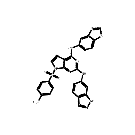 Cc1ccc(S(=O)(=O)n2ccc3c(Nc4ccc5scnc5c4)nc(Nc4ccc5cn[nH]c5c4)nc32)cc1